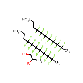 CC(O)CO.O=S(=O)(O)CCC(F)(F)C(F)(F)C(F)(F)C(F)(F)C(F)(F)C(F)(F)C(F)(F)C(F)(F)F.O=S(=O)(O)CCC(F)(F)C(F)(F)C(F)(F)C(F)(F)C(F)(F)C(F)(F)C(F)(F)C(F)(F)F